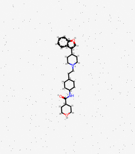 O=C(NC1CCC(CCN2CCC(c3coc4ccccc34)CC2)CC1)C1CCOCC1